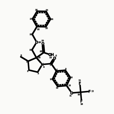 CC1CCN(C(=O)c2ccc(OC(F)(F)F)cc2)C1(COCc1ccccc1)C(=O)O